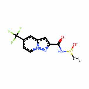 C[S+]([O-])NC(=O)c1cc2cc(C(F)(F)F)ccn2n1